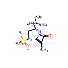 CC1=CNC1=O.CCCC[N+](CC)(CCCC)CCCS(=O)(=O)[O-]